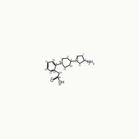 NC1CCN(C2CCN(c3ccccc3CC(=O)O)CC2)C1